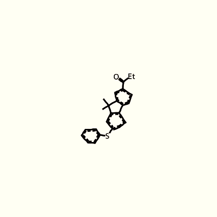 CCC(=O)c1ccc2c(c1)C(C)(C)c1cc(Sc3ccccc3)ccc1-2